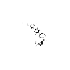 NC[C@H]1CN(c2cc(F)c(N3CCNN(C(=O)c4ccc([N+](=O)[O-])o4)CC3)c(F)c2)C(=O)O1